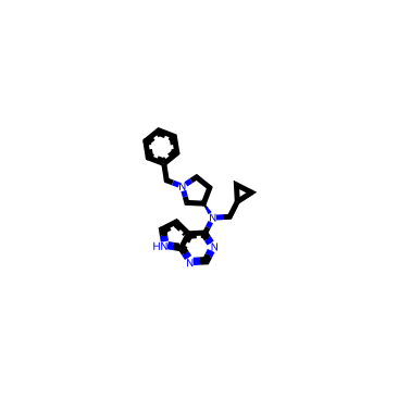 c1ccc(CN2CC[C@@H](N(CC3CC3)c3ncnc4[nH]ccc34)C2)cc1